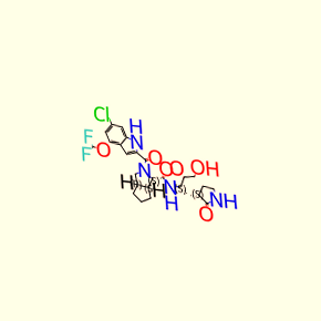 O=C1NCC[C@H]1C[C@H](NC(=O)[C@@H]1[C@H]2CCC[C@H]2CN1C(=O)c1cc2c(OC(F)F)cc(Cl)cc2[nH]1)C(=O)CO